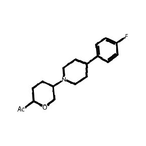 CC(=O)C1CCC(N2CCC(c3ccc(F)cc3)CC2)CO1